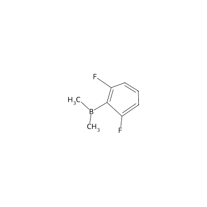 CB(C)c1c(F)cccc1F